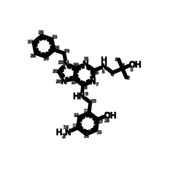 CC(C)(O)CNc1nc(NCc2cc(N)ccc2O)c2ncn(Cc3ccccc3)c2n1